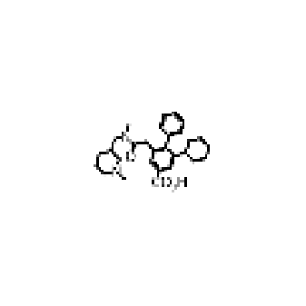 CN1CCCC(CN(C)C(=O)Cc2cc(C(=O)O)cc(C3CCCCC3)c2-c2ccccc2)C1